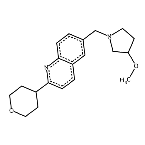 COC1CCN(Cc2ccc3nc(C4CCOCC4)ccc3c2)C1